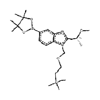 CO[C@H](C)c1nc2cc(B3OC(C)(C)C(C)(C)O3)ccc2n1COCC[Si](C)(C)C